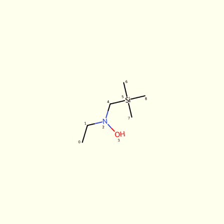 CCN(O)C[Si](C)(C)C